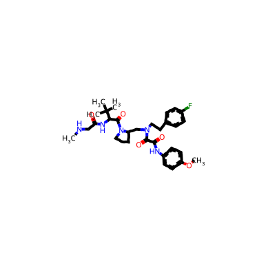 CNCC(=O)NC(C(=O)N1CCCC1CN(CCc1ccc(F)cc1)C(=O)C(=O)Nc1ccc(OC)cc1)C(C)(C)C